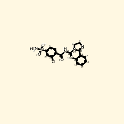 NS(=O)(=O)c1ccc(C(=O)NC2=Nc3ccccc3C3=NCCN23)c(Cl)c1